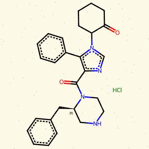 Cl.O=C1CCCCC1n1cnc(C(=O)N2CCNC[C@H]2Cc2ccccc2)c1-c1ccccc1